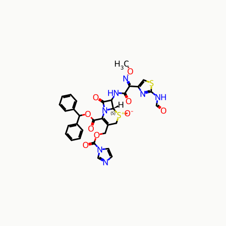 CON=C(C(=O)NC1C(=O)N2C(C(=O)OC(c3ccccc3)c3ccccc3)=C(COC(=O)n3ccnc3)C[S+]([O-])[C@@H]12)c1csc(NC=O)n1